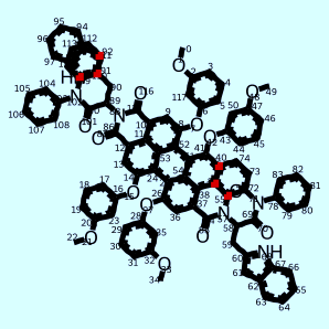 COc1cccc(Oc2cc3c4c(cc(Oc5cccc(OC)c5)c5c6c(Oc7cccc(OC)c7)cc7c8c(cc(Oc9cccc(OC)c9)c(c2c45)c86)C(=O)N(C(Cc2cc4ccccc4[nH]2)C(=O)N(c2ccccc2)c2ccccc2)C7=O)C(=O)N(C(Cc2cc4ccccc4[nH]2)C(=O)N(c2ccccc2)c2ccccc2)C3=O)c1